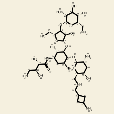 NC[C@@H]1O[C@H](O[C@H]2[C@@H](O)[C@H](O[C@@H]3[C@@H](O)[C@H](NC(=O)[C@@H](O)[C@@H](O)CN)C[C@H](N)[C@H]3O[C@H]3O[C@H](CNCC4CC(N)C4)[C@@H](O)C[C@H]3N)O[C@@H]2CO)[C@H](N)[C@@H](O)[C@@H]1O